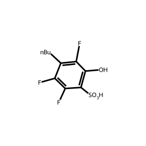 CCCCc1c(F)c(O)c(S(=O)(=O)O)c(F)c1F